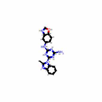 Cc1nc2ccccc2n1-c1nc(N)nc(Nc2ccc3ocnc3c2)n1